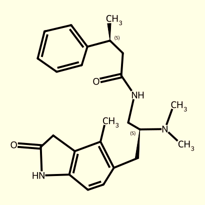 Cc1c(C[C@@H](CNC(=O)C[C@H](C)c2ccccc2)N(C)C)ccc2c1CC(=O)N2